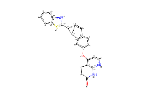 O=C1CCc2c(Oc3ccc4c(c3)C3C(=C4)C3c3nc4ccccc4s3)ccnc2N1